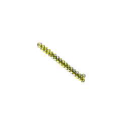 S=S=S=S=S=S=S=S=S=S=S=S=S=S=S=S=S=S=S=S=S=S=S=S=S=S=S=S=S=S=S=S(=S)=S